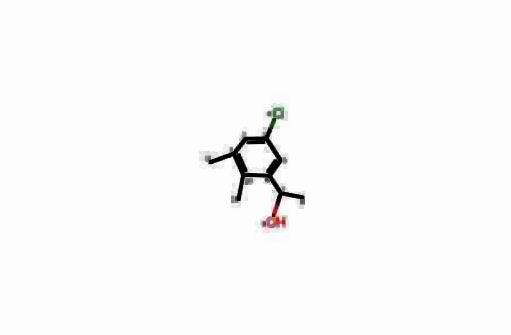 Cc1cc(Cl)cc(C(C)O)c1C